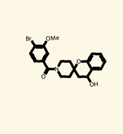 COc1cc(C(=O)N2CCC3(CC2)CC(O)c2ccccc2O3)ccc1Br